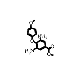 COC(=O)c1cc(N)c(Oc2ccc(OC)cc2)c(N)c1